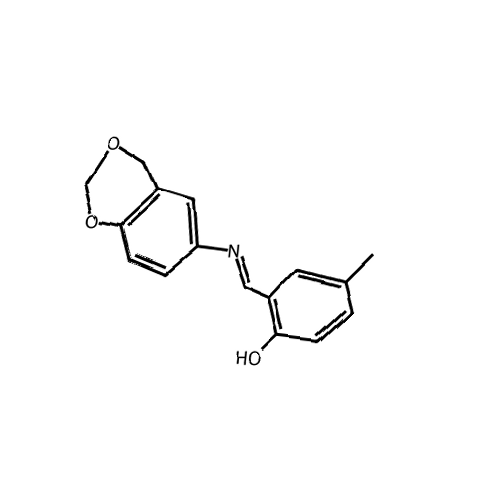 Cc1ccc(O)c(/C=N/c2ccc3c(c2)COCO3)c1